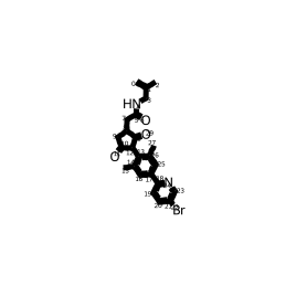 C=C(C)CNC(=O)CC1CC(=O)C(c2c(C)cc(-c3ccc(Br)cn3)cc2C)C1=O